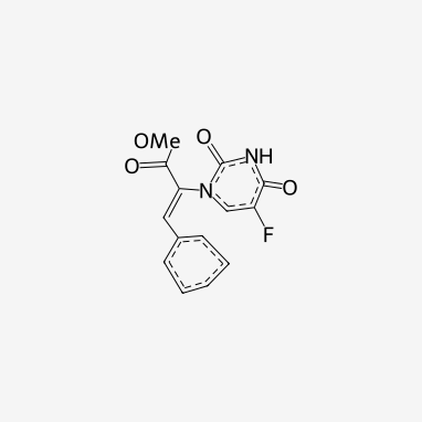 COC(=O)C(=Cc1ccccc1)n1cc(F)c(=O)[nH]c1=O